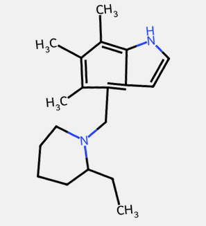 CCC1CCCCN1Cc1c(C)c(C)c(C)c2[nH]ccc12